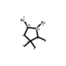 CC(=O)[C@@H]1CC(C)(C)C(C)N1C(C)=O